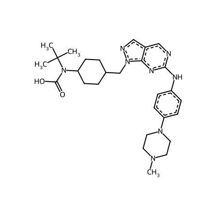 CN1CCN(c2ccc(Nc3ncc4cnn(CC5CCC(N(C(=O)O)C(C)(C)C)CC5)c4n3)cc2)CC1